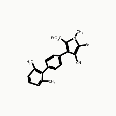 CCOC(=O)c1c(-c2ccc(-c3c(C)cccc3C)cc2)c(C#N)c(Br)n1C